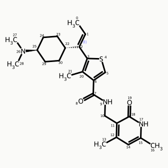 C/C=C(/c1scc(C(=O)NCc2c(C)cc(C)[nH]c2=O)c1C)[C@H]1CC[C@H](N(C)C)CC1